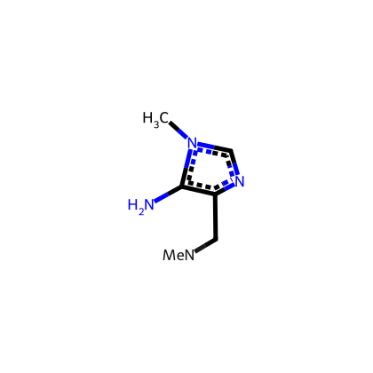 CNCc1ncn(C)c1N